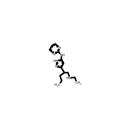 CCCC(CNCC)c1cc(Nc2ncccn2)[nH]n1